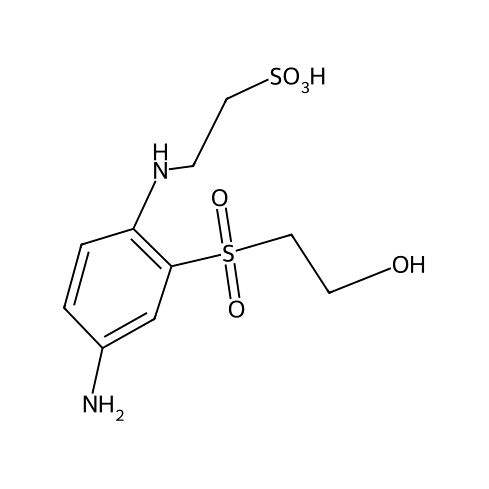 Nc1ccc(NCCS(=O)(=O)O)c(S(=O)(=O)CCO)c1